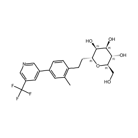 Cc1cc(-c2cncc(C(F)(F)F)c2)ccc1CC[C@H]1O[C@H](CO)[C@@H](O)[C@H](O)[C@@H]1O